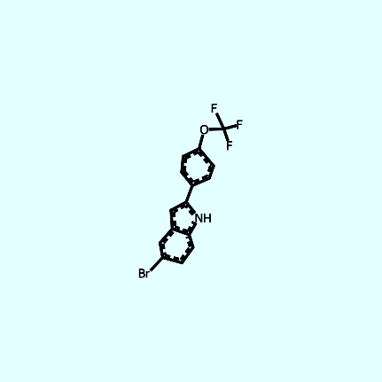 FC(F)(F)Oc1ccc(-c2cc3cc(Br)ccc3[nH]2)cc1